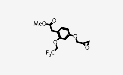 COC(=O)Cc1ccc(OCC2CO2)cc1OCC(F)(F)F